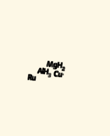 [AlH3].[Cu].[MgH2].[Ru]